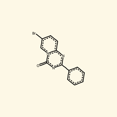 O=c1nc(-c2ccccc2)nc2ccc(Br)cn12